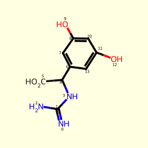 N=C(N)NC(C(=O)O)c1cc(O)cc(O)c1